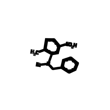 CCN(Cc1ccccc1)c1cc(S(=O)(=O)O)ccc1C